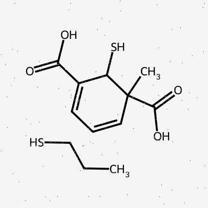 CC1(C(=O)O)C=CC=C(C(=O)O)C1S.CCCS